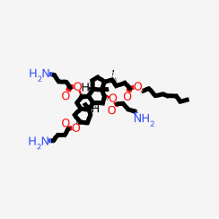 CCCCCCCCOC(=O)CC[C@@H](C)C1CC[C@H]2C3[C@H](OC(=O)CCCN)CC4C[C@H](OC(=O)CCCN)CCC4(C)[C@H]3C[C@H](OC(=O)CCCN)C12C